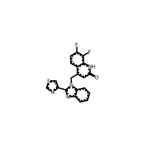 O=c1cc(Cn2c(-c3cscn3)nc3ccccc32)c2ccc(F)c(F)c2[nH]1